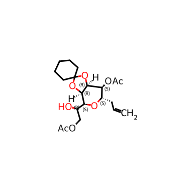 C=CC[C@@H]1O[C@@H]([C@H](O)COC(C)=O)[C@H]2OC3(CCCCC3)O[C@H]2[C@H]1OC(C)=O